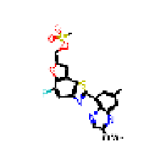 COc1cnc2c(-c3nc4cc(F)c5c(c4s3)CC(COS(C)(=O)=O)O5)cc(C)cc2n1